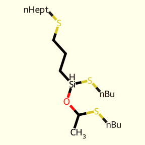 CCCCCCCSCCC[SiH](OC(C)SCCCC)SCCCC